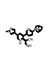 Cn1cc(C2=CN/C(=C(/C#N)C=N)C(c3ccc(N4CC5CC(C4)N5)nc3)=C2)cn1